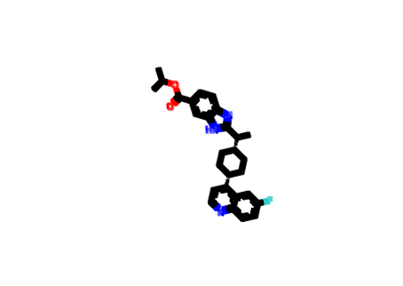 CC(C)OC(=O)c1ccc2nc(C(C)[C@H]3CC[C@@H](c4ccnc5ccc(F)cc54)CC3)[nH]c2c1